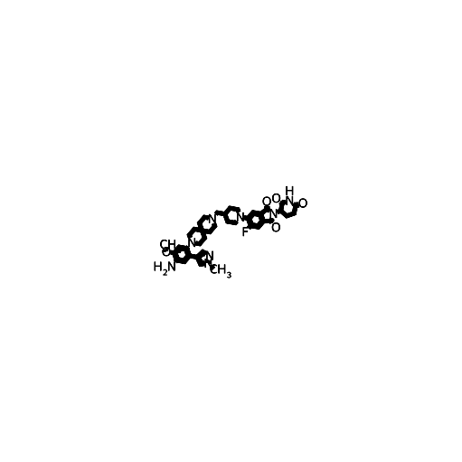 COc1cc(N2CCC3(CCN(CC4CCN(c5cc6c(cc5F)C(=O)N(C5CCC(=O)NC5=O)C6=O)CC4)CC3)CC2)c(-c2cnn(C)c2)cc1N